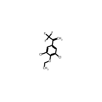 C=C(c1cc(Cl)c(OCC)c(Cl)c1)C(F)(F)F